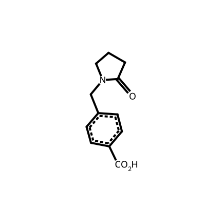 O=C(O)c1ccc(CN2CCCC2=O)cc1